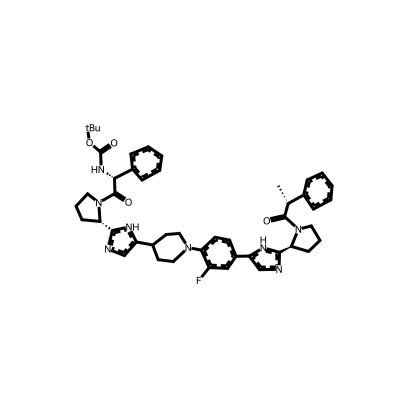 C[C@@H](C(=O)N1CCC[C@H]1c1ncc(-c2ccc(N3CCC(c4cnc([C@@H]5CCCN5C(=O)[C@H](NC(=O)OC(C)(C)C)c5ccccc5)[nH]4)CC3)c(F)c2)[nH]1)c1ccccc1